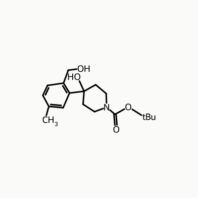 Cc1ccc(CO)c(C2(O)CCN(C(=O)OC(C)(C)C)CC2)c1